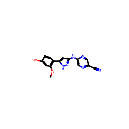 COc1cc(O)ccc1-c1cc(Nc2cnc(C#N)cn2)n[nH]1